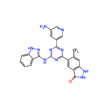 Nc1cncc(-c2nc(Nc3n[nH]c4ccccc34)nc(-c3cc4c(=O)[nH][nH]c4cc3C(F)(F)F)n2)c1